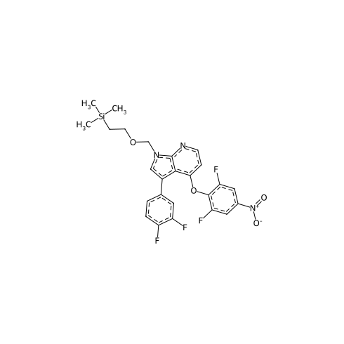 C[Si](C)(C)CCOCn1cc(-c2ccc(F)c(F)c2)c2c(Oc3c(F)cc([N+](=O)[O-])cc3F)ccnc21